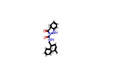 Cc1ccc(CNC(=O)n2[nH]c3ccccc3c2=O)c2ccccc12